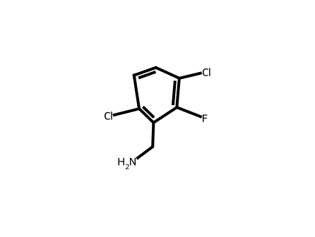 NCc1c(Cl)ccc(Cl)c1F